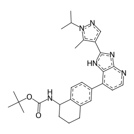 Cc1c(-c2nc3nccc(-c4ccc5c(c4)CCCC5NC(=O)OC(C)(C)C)c3[nH]2)cnn1C(C)C